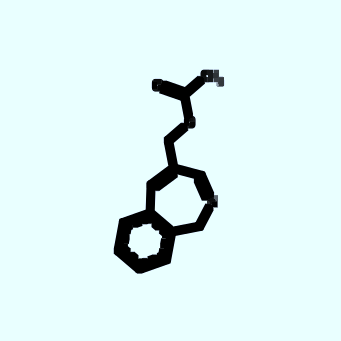 CC(=O)OCC1=Cc2ccccc2CN=C1